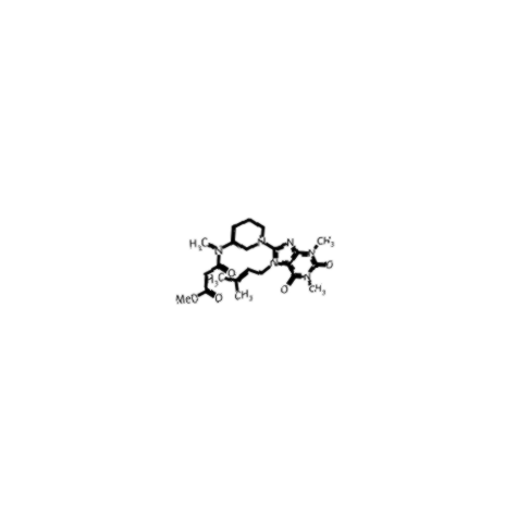 COC(=O)CC(=O)N(C)C1CCCN(c2nc3c(c(=O)n(C)c(=O)n3C)n2CC=C(C)C)C1